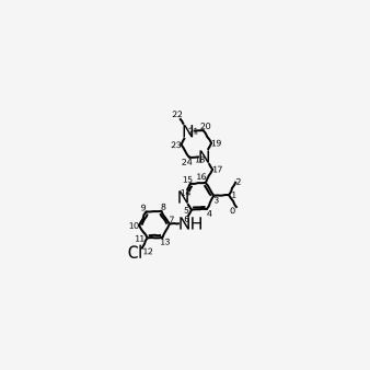 CC(C)c1cc(Nc2cccc(Cl)c2)ncc1CN1CCN(C)CC1